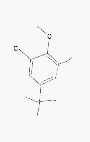 COc1c(C)cc(C(C)(C)C)cc1Cl